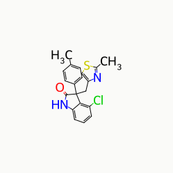 Cc1ccc(C2(Cc3csc(C)n3)C(=O)Nc3cccc(Cl)c32)cc1